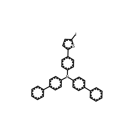 Ic1ccc(-c2ccc(N(c3ccc(-c4ccccc4)cc3)c3ccc(-c4ccccc4)cc3)cc2)s1